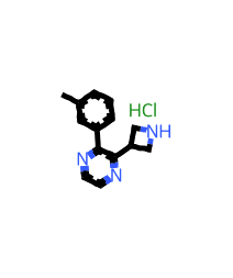 Cc1cccc(-c2nccnc2C2CNC2)c1.Cl